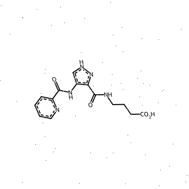 O=C(O)CCCNC(=O)c1n[nH]cc1NC(=O)c1ccccn1